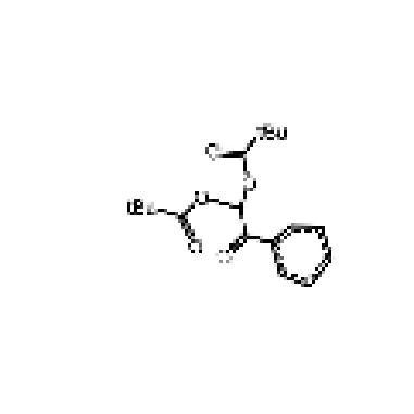 CC(C)(C)C(=O)OC(OC(=O)C(C)(C)C)C(=O)c1ccccc1